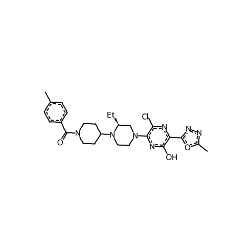 CC[C@H]1CN(c2nc(O)c(-c3nnc(C)o3)nc2Cl)CCN1C1CCN(C(=O)c2ccc(C)cc2)CC1